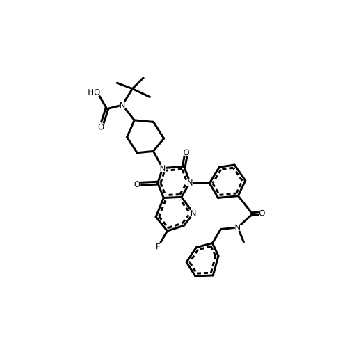 CN(Cc1ccccc1)C(=O)c1cccc(-n2c(=O)n(C3CCC(N(C(=O)O)C(C)(C)C)CC3)c(=O)c3cc(F)cnc32)c1